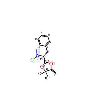 C=C1OB([C@H](Cc2ccccc2)NCl)OC1(C)C